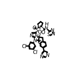 C[C@@]1(Cc2ccc(-c3cncnc3)cc2)C(=O)N(c2cc(Cl)cc(Cl)c2)c2ncc(S(=O)(=O)N3CCC[C@H]3C(=O)Nc3nncs3)n21